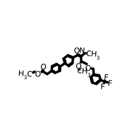 CCOC(=O)Cc1ccc(-c2ccc(-c3onc(C)c3C(COCc3cccc(C(F)(F)F)c3)OC)cc2)cc1